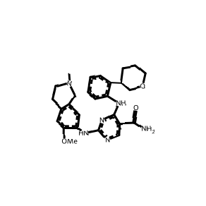 COc1cc2c(cc1Nc1ncc(C(N)=O)c(Nc3ccccc3C3CCCOC3)n1)CN(C)CC2